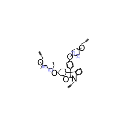 C#CCOC(=C)/C=C\C(=C/C)Oc1ccc(C2(C3=CCC(O/C(C=C)=C/C=C(\C)OCC#C)C=C3)C(=O)N(CC#C)c3ccccc32)cc1